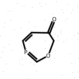 O=C1C=CP=COC1